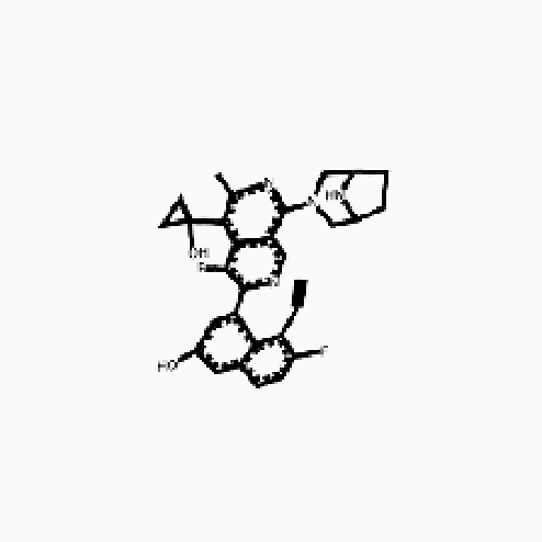 C#Cc1c(F)ccc2cc(O)cc(-c3ncc4c(N5CC6CCC(C5)N6)nc(C)c(C5(O)CC5)c4c3F)c12